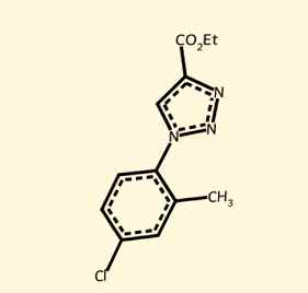 CCOC(=O)c1cn(-c2ccc(Cl)cc2C)nn1